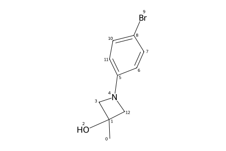 CC1(O)CN(c2ccc(Br)cc2)C1